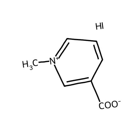 C[n+]1cccc(C(=O)[O-])c1.I